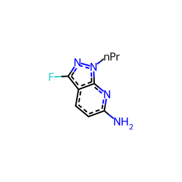 CCCn1nc(F)c2ccc(N)nc21